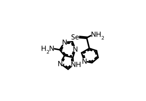 NC(=[Se])c1cccnc1.Nc1ncnc2[nH]cnc12